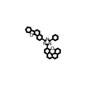 c1ccc(-c2nc(-c3ccc4c(ccc5c6ccccc6oc45)c3)nc(-c3ccc4ccc5ccc6cccc7c6c5c4c3O7)n2)cc1